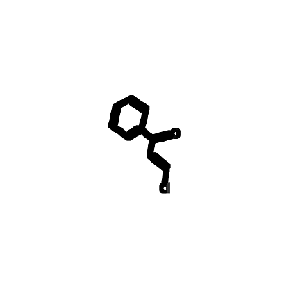 O=C(/C=C/Cl)c1ccccc1